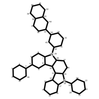 C1CCC(C2CCC3C(C2)C2C4C5CCCCC5N(C5CCCCC5)C4CCC2N3C2CCCC(C3CCC4CCCCC4C3)C2)CC1